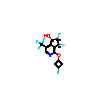 O[C@H]1c2c(C(F)(F)F)cnc(O[C@H]3C[C@H](F)C3)c2[C@@H](F)[C@H]1F